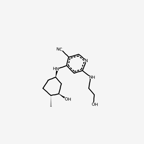 C[C@@H]1CC[C@@H](Nc2cc(NCCO)ncc2C#N)C[C@H]1O